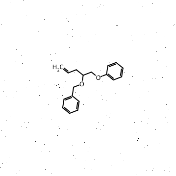 C=CCC(COc1ccccc1)OCc1ccccc1